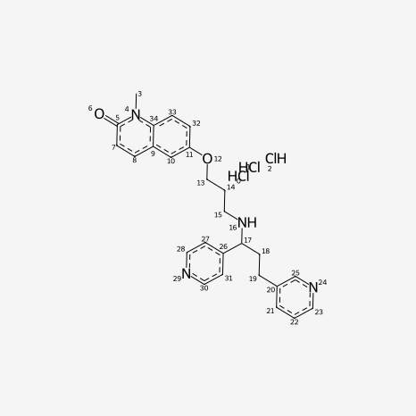 Cl.Cl.Cl.Cn1c(=O)ccc2cc(OCCCNC(CCc3cccnc3)c3ccncc3)ccc21